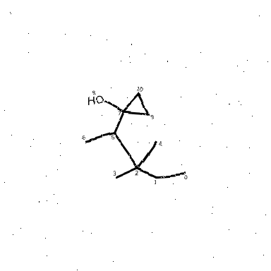 CCC(C)(C)C(C)C1(O)CC1